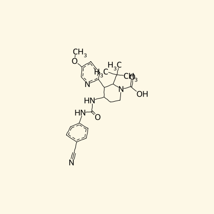 COc1ccc(C2C(NC(=O)Nc3ccc(C#N)cc3)CCN(C(=O)O)C2C(C)(C)C)nc1